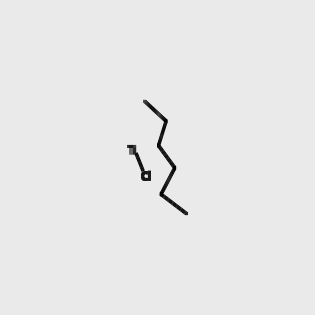 CCCCCC.[Cl][Ti]